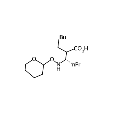 CCC[C@H](NOC1CCCCO1)C(CC(C)CC)C(=O)O